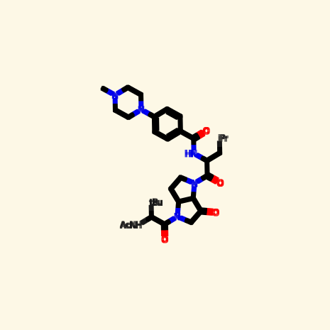 CC(=O)NC(C(=O)N1CC(=O)C2C1CCN2C(=O)C(CC(C)C)NC(=O)c1ccc(N2CCN(C)CC2)cc1)C(C)(C)C